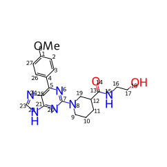 COc1ccc(-c2nc(N3CCCC(C(=O)NCCO)C3)nc3[nH]cnc23)cc1